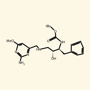 COc1cc(CNC[C@@H](O)[C@H](Cc2ccccc2)NC(=O)OC(C)(C)C)nc(N)n1